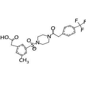 Cc1cc(CC(=O)O)cc(S(=O)(=O)N2CCN(C(=O)Cc3ccc(C(F)(F)F)cc3)CC2)c1